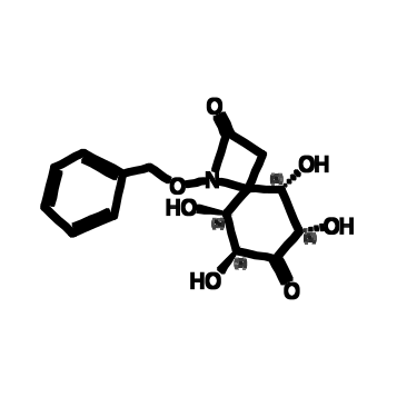 O=C1[C@@H](O)[C@@H](O)C2(CC(=O)N2OCc2ccccc2)[C@H](O)[C@@H]1O